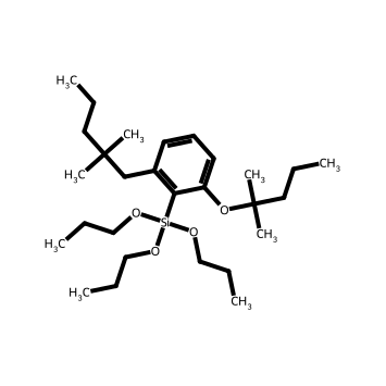 CCCO[Si](OCCC)(OCCC)c1c(CC(C)(C)CCC)cccc1OC(C)(C)CCC